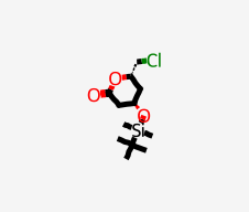 CC(C)(C)[Si](C)(C)O[C@H]1CC(=O)O[C@H](CCl)C1